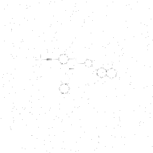 C[Si](C)(C)C#Cc1cnc(NCc2ccc(-c3ccc4ncnc(N)c4c3)s2)c(C(=O)NCc2ccc(F)c(F)c2)c1